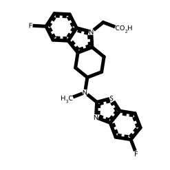 CN(c1nc2cc(F)ccc2s1)C1CCc2c(c3cc(F)ccc3n2CC(=O)O)C1